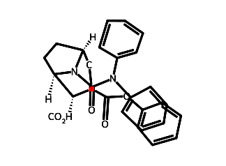 O=C(O)[C@@H]1[C@H]2CC[C@@H](CN1C(=O)Oc1ccccc1)N2C(=O)N(c1ccccc1)c1ccccc1